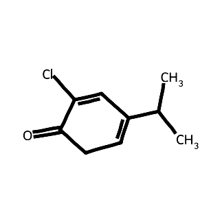 CC(C)C1=CCC(=O)C(Cl)=C1